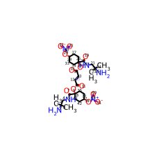 CC(C)(N)CNC(=O)C1(OC(=O)/C=C/C(=O)OC2(C(=O)NCC(C)(C)N)CCC(O[N+](=O)[O-])CC2)CCC(O[N+](=O)[O-])CC1